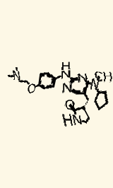 CN(C)CCOc1ccc(Nc2ncc(C[C@@H]3CCNC3=O)c(N(C=O)C3CCCC3)n2)cc1